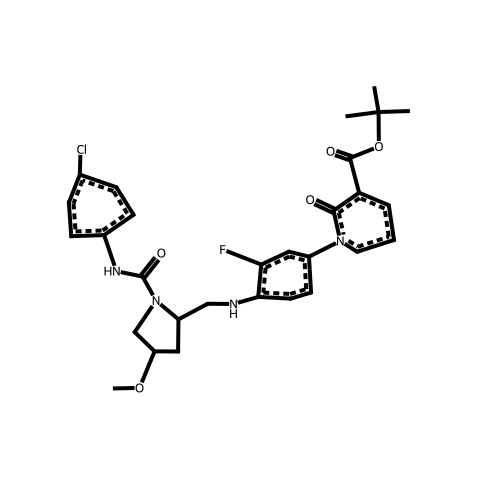 COC1CC(CNc2ccc(-n3cccc(C(=O)OC(C)(C)C)c3=O)cc2F)N(C(=O)Nc2ccc(Cl)cc2)C1